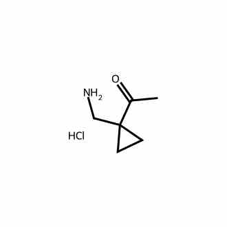 CC(=O)C1(CN)CC1.Cl